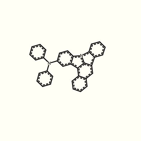 c1ccc(N(c2ccccc2)c2ccc3c(c2)c2c4ccccc4cc4c5ccccc5n3c42)cc1